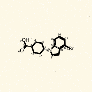 O=C(O)[C@H]1CC[C@H](n2ccc3c(Br)cccc32)CC1